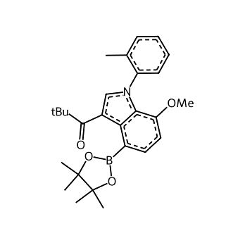 COc1ccc(B2OC(C)(C)C(C)(C)O2)c2c(C(=O)C(C)(C)C)cn(-c3ccccc3C)c12